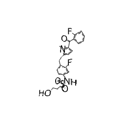 Cn1c(Cc2ccc(NS(=O)(=O)CCO)cc2F)ccc1C(=O)c1ccccc1F